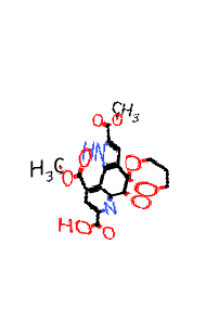 COC(=O)c1cc2c([nH]1)-c1c(C(=O)OC)cc(C(=O)O)nc1C(=O)C21OCCCO1